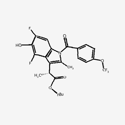 CCCCOC(=O)[C@H](C)c1c(C)n(C(=O)c2ccc(OC(F)(F)F)cc2)c2cc(F)c(O)c(F)c12